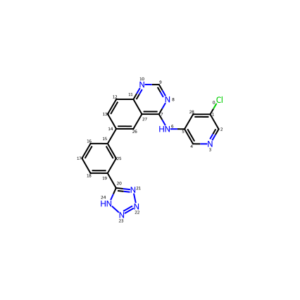 Clc1cncc(Nc2ncnc3ccc(-c4cccc(-c5nnn[nH]5)c4)cc23)c1